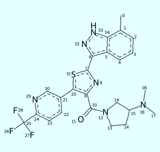 Cc1cccc2c(-c3nc(C(=O)N4CCC(N(C)C)C4)c(-c4ccc(C(F)(F)F)nc4)s3)n[nH]c12